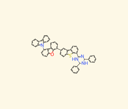 c1ccc(C2N=C(c3cccc4c3sc3ccc(-c5cccc6c5oc5cccc(-n7c8ccccc8c8ccccc87)c56)cc34)NC(c3ccccc3)N2)cc1